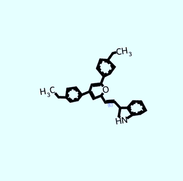 CCc1ccc(C2=CC(/C=C/C3CNc4ccccc43)OC(c3ccc(CC)cc3)=C2)cc1